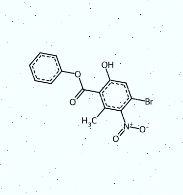 Cc1c(C(=O)Oc2ccccc2)c(O)cc(Br)c1[N+](=O)[O-]